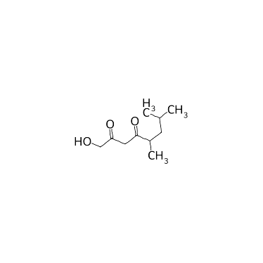 CC(C)CC(C)C(=O)CC(=O)CO